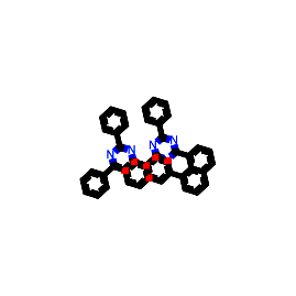 c1ccc(-c2cc(-c3ccc(-c4cccc5cccc(-c6nc(-c7ccccc7)nc(-c7ccccc7)n6)c45)cc3)nc(-c3ccccc3)n2)cc1